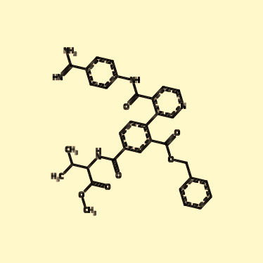 COC(=O)C(NC(=O)c1ccc(-c2cnccc2C(=O)Nc2ccc(C(=N)N)cc2)c(C(=O)OCc2ccccc2)c1)C(C)C